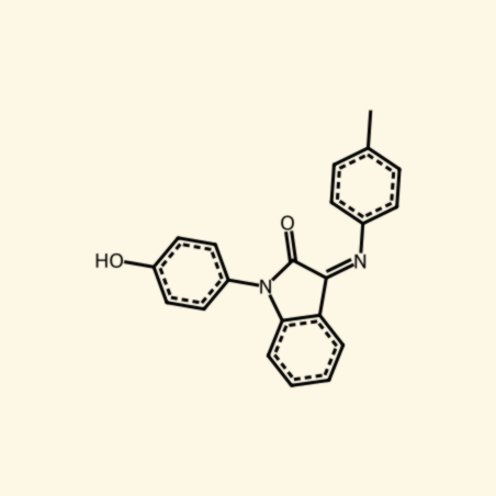 Cc1ccc(N=C2C(=O)N(c3ccc(O)cc3)c3ccccc32)cc1